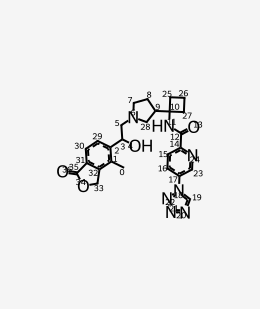 Cc1c(C(O)CN2CCC(C3(NC(=O)c4ccc(-n5cnnn5)cn4)CCC3)C2)ccc2c1COC2=O